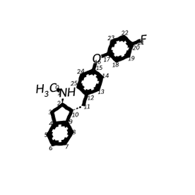 CN[C@H]1Cc2ccccc2[C@H]1Cc1ccc(Oc2ccc(F)cc2)cc1